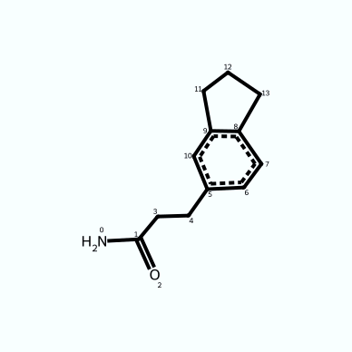 NC(=O)CCc1ccc2c(c1)CCC2